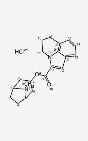 CN1C2CCC1CC(OC(=O)c1cc3cccc4c3n1CCC4)C2.Cl